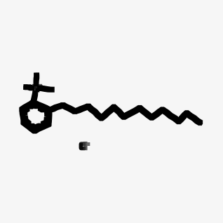 CCCCCCCCCCCCc1ccccc1[N+](C)(C)C.[Cl-]